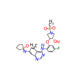 Cc1cc(N=S2(=O)CCCC2)cc2ncnc(Nc3ccc(F)cc3O[C@H]3CN(S(C)(=O)=O)C[C@@H]3O)c12